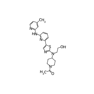 CC(=O)N1CCC(N(CCO)c2ncc(-c3cccc(Nc4cc(C)ccn4)n3)s2)CC1